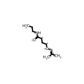 CCCNC(=O)CCCON=C(C)C